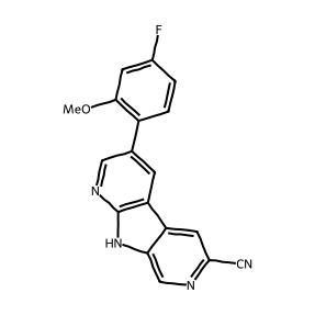 COc1cc(F)ccc1-c1cnc2[nH]c3cnc(C#N)cc3c2c1